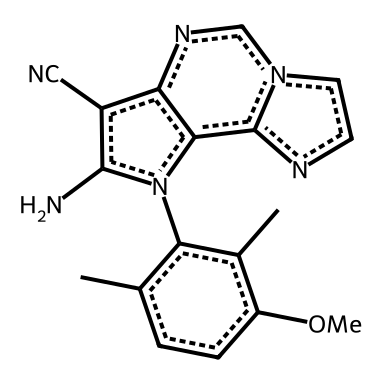 COc1ccc(C)c(-n2c(N)c(C#N)c3ncn4ccnc4c32)c1C